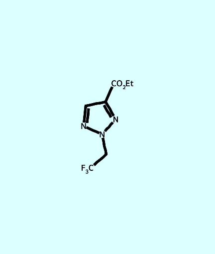 CCOC(=O)c1cnn(CC(F)(F)F)n1